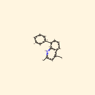 Cc1cc(C)c2cccc(-c3[c]cccc3)c2n1